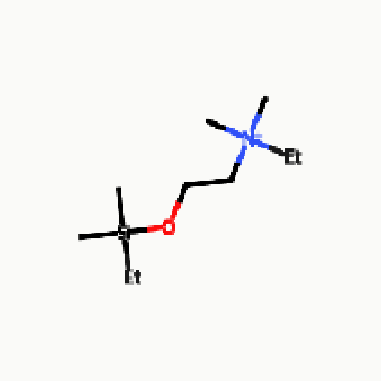 CC[N+](C)(C)CCO[Si](C)(C)CC